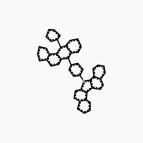 c1ccc(-c2c3ccccc3c(-c3ccc(-n4c5ccc6ccccc6c5c5ccc6ccccc6c54)cc3)c3ccc4ccccc4c23)cc1